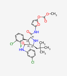 COC(=O)Oc1ccc(NC(=O)[C@@H]2N[C@@H](CC(C)(C)C)[C@@]3(C(=O)Nc4cc(Cl)ccc43)[C@H]2c2cccc(Cl)c2F)o1